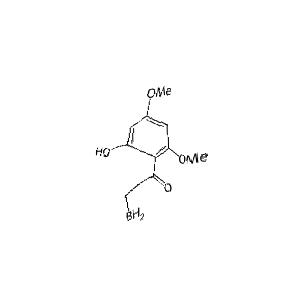 BCC(=O)c1c(O)cc(OC)cc1OC